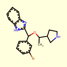 CC(OC(c1cccc(Br)c1)c1nc2ccccc2[nH]1)C1CCNC1